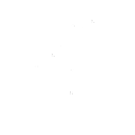 CCOc1ccc2cccnc2c1C(=O)N1CC2CC(Oc3ccc(C)cn3)C1C2